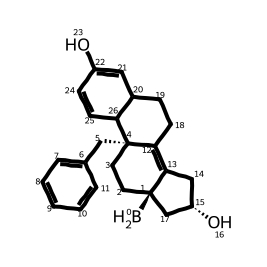 B[C@@]12CC[C@]3(Cc4ccccc4)C(=C1C[C@H](O)C2)CCC1C=C(O)C=CC13